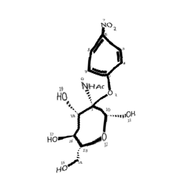 CC(=O)N[C@]1(Oc2ccc([N+](=O)[O-])cc2)[C@H](O)O[C@H](CO)[C@@H](O)[C@@H]1O